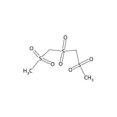 CS(=O)(=O)CS(=O)(=O)CS(C)(=O)=O